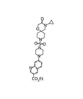 CCOC(=O)c1cnc2cc(N3CCN(S(=O)(=O)N4CCC5(CC4)CN(C4CC4)C(=O)CO5)CC3)ccc2c1